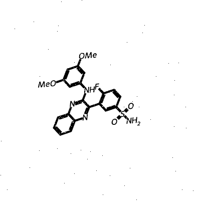 COc1cc(Nc2nc3ccccc3nc2-c2cc(S(N)(=O)=O)ccc2F)cc(OC)c1